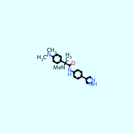 CNC(C)(C(=O)Nc1ccc(-c2cn[nH]c2)cc1)c1ccc(N(C)C)cc1